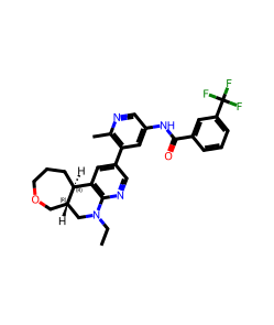 CCN1C[C@@H]2COCCC[C@H]2c2cc(-c3cc(NC(=O)c4cccc(C(F)(F)F)c4)cnc3C)cnc21